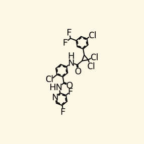 O=C(Nc1ncc(F)cc1F)c1cc(NC(=O)C2C(c3cc(Cl)cc(C(F)F)c3)C2(Cl)Cl)ccc1Cl